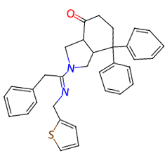 O=C1CCC(c2ccccc2)(c2ccccc2)C2CN(C(Cc3ccccc3)=NCc3cccs3)CC12